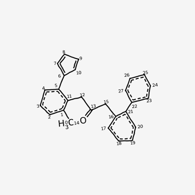 Cc1cccc(C2=C=CC=C2)c1CC(=O)Cc1ccccc1-c1ccccc1